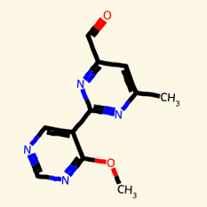 COc1ncncc1-c1nc(C)cc(C=O)n1